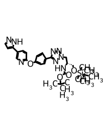 CC(C)(C)OC(=O)N[C@@H](CO[Si](C)(C)C(C)(C)C)Cn1nnc(-c2ccc(Oc3ccc(-c4ccn[nH]4)cn3)cc2)n1